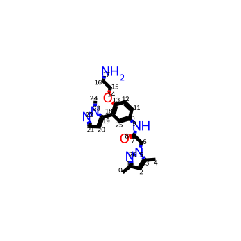 Cc1cc(C)n(CC(=O)Nc2ccc(OCCN)c(-c3ccnn3C)c2)n1